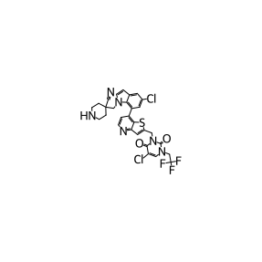 N#CC1(Cn2ccc3cc(Cl)cc(-c4ccnc5cc(Cn6c(=O)c(Cl)cn(CC(F)(F)F)c6=O)sc45)c32)CCNCC1